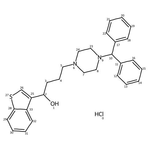 Cl.OC(CCCN1CCN(C(c2ccccc2)c2ccccc2)CC1)c1csc2ccccc12